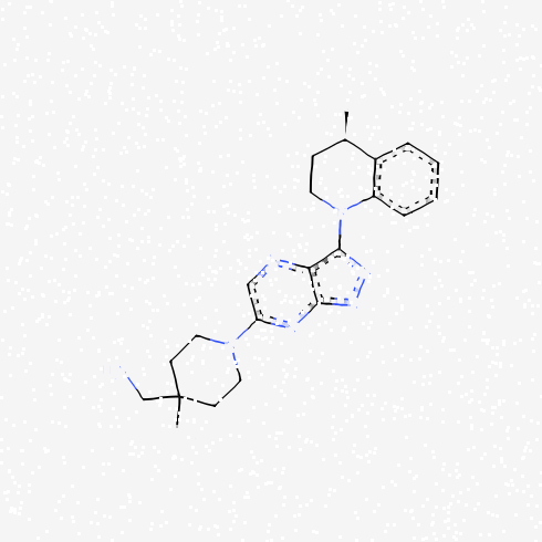 C[C@@H]1CCN(c2n[nH]c3nc(N4CCC(C)(CN)CC4)cnc23)c2ccccc21